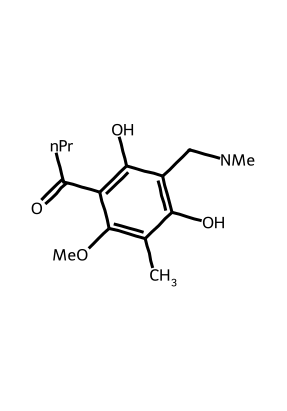 CCCC(=O)c1c(O)c(CNC)c(O)c(C)c1OC